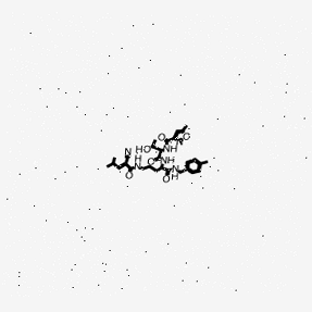 Cc1ccc(CNC(=O)C(CCCNC(=O)C(C#N)=CC(C)C)NC(=O)C(NC(=O)c2cc(C)on2)C(C)O)cc1